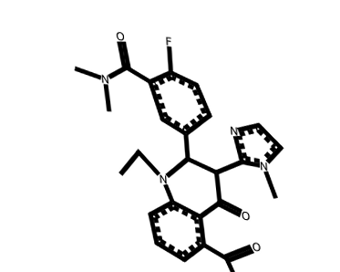 CCN1c2cccc(C(=O)O)c2C(=O)C(c2nccn2C)C1c1ccc(F)c(C(=O)N(C)C)c1